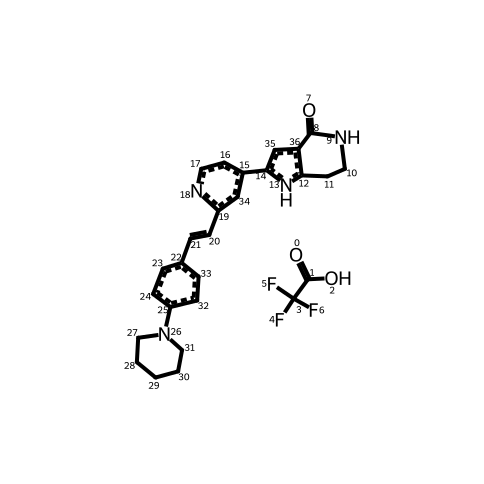 O=C(O)C(F)(F)F.O=C1NCCc2[nH]c(-c3ccnc(/C=C/c4ccc(N5CCCCC5)cc4)c3)cc21